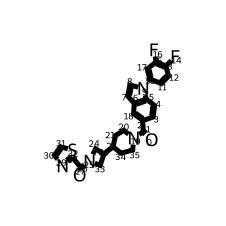 O=C(c1ccc2c(ccn2-c2ccc(F)c(F)c2)c1)N1CCC(C2CN(C(=O)c3nccs3)C2)CC1